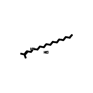 CCCCCCCCCCCCNCC=C(C)C.Cl